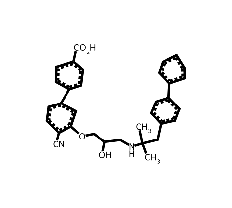 CC(C)(Cc1ccc(-c2ccccc2)cc1)NCC(O)COc1cc(-c2ccc(C(=O)O)cc2)ccc1C#N